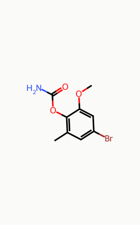 COc1cc(Br)cc(C)c1OC(N)=O